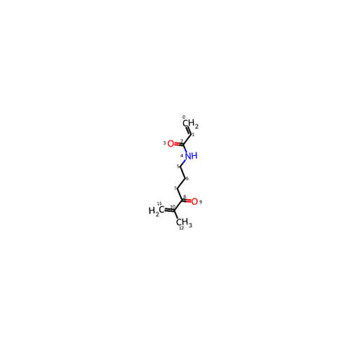 C=CC(=O)NCCCC(=O)C(=C)C